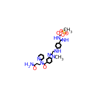 Cn1c(CNc2ccc(C(=N)NC(=O)OS(C)(=O)=O)cc2)nc2cc(C(=O)N(CCC(N)=O)c3ccccn3)ccc21